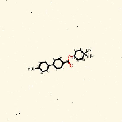 CCCCC1CCC(C2CCC(C(=O)OC3CCC(C#N)(CCC)CC3)CC2)CC1